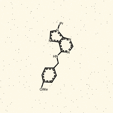 COc1ccc(CNc2ncnc3c2ncn3C(C)C)cc1